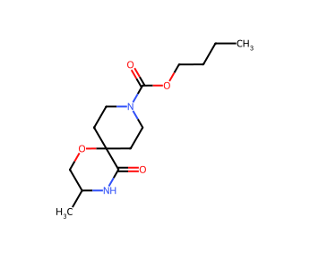 CCCCOC(=O)N1CCC2(CC1)OCC(C)NC2=O